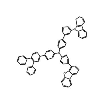 C1=Cc2c(n(-c3cccc(-c4ccc(N(c5ccc(-c6ccc(-c7ccccc7)c(-c7ccccc7)c6)cc5)c5ccc(-c6cccc7c6oc6ccccc67)cc5)cc4)c3)c3ccccc23)CC1